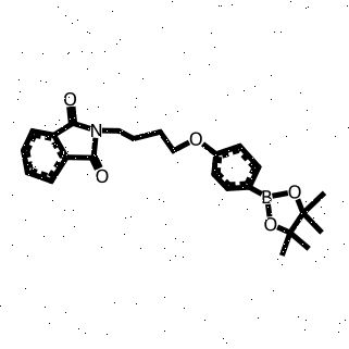 CC1(C)OB(c2ccc(OCCCCN3C(=O)c4ccccc4C3=O)cc2)OC1(C)C